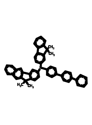 CC1(C)c2ccccc2-c2ccc(N(c3ccc(-c4ccc(-c5ccccc5)cc4)cc3)c3ccc4c(c3)-c3cc5ccccc5cc3C4(C)C)cc21